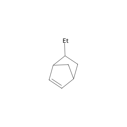 CCC1CC2C=CC1C2